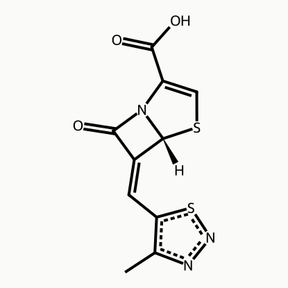 Cc1nnsc1/C=C1/C(=O)N2C(C(=O)O)=CS[C@H]12